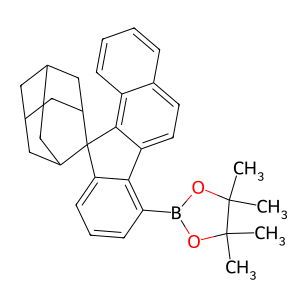 CC1(C)OB(c2cccc3c2-c2ccc4ccccc4c2C32C3CC4CC(C3)CC2C4)OC1(C)C